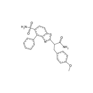 COc1ccc(CC(C(N)=O)c2nc3c(-c4ccccc4)c(S(N)(=O)=O)ccc3s2)cc1